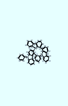 c1ccc(-n2c3ccccc3c3c4c5ccccc5n5c6ccccc6c6cccc(c7cccc8c9ccccc9n(c4ccc32)c87)c65)cc1